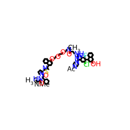 CN[C@@H](C)C(=O)N[C@H](C(=O)N1CCC[C@H]1c1nc(-c2ccc(OCCOCCOCCN(C)C(=O)CCNc3nc(N4CCN(C(C)=O)CC4)c4cc(Cl)c(-c5cc(O)cc6ccccc56)c(F)c4n3)c3ccccc23)cs1)C1CCCCC1